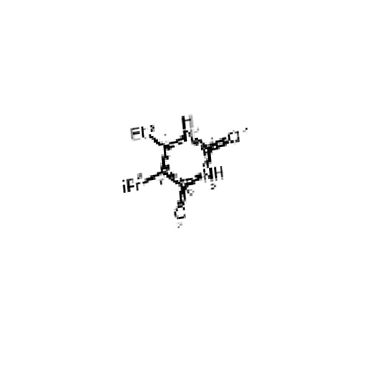 CCc1[nH]c(=O)[nH]c(=O)c1C(C)C